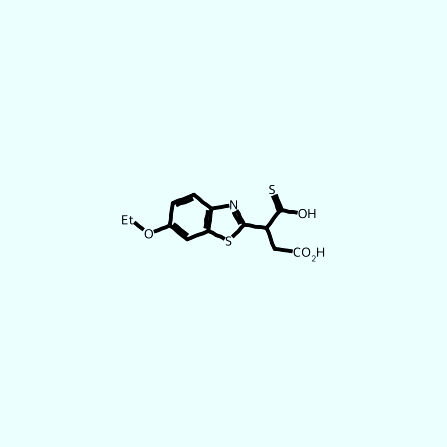 CCOc1ccc2nc(C(CC(=O)O)C(O)=S)sc2c1